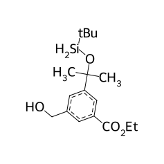 CCOC(=O)c1cc(CO)cc(C(C)(C)O[SiH2]C(C)(C)C)c1